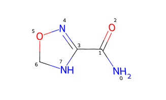 NC(=O)C1=NOCN1